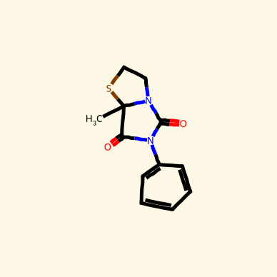 CC12SCCN1C(=O)N(c1ccccc1)C2=O